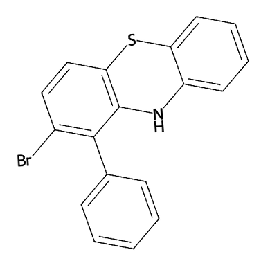 Brc1ccc2c(c1-c1ccccc1)Nc1ccccc1S2